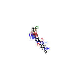 CCCNc1ccc2c(=O)n(-c3ccc(NC(=O)NS(=O)(=O)c4ccc(Cl)s4)cn3)c(=O)[nH]c2c1